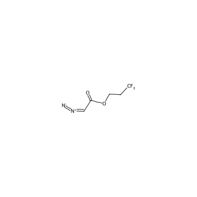 [N-]=[N+]=CC(=O)OCCC(F)(F)F